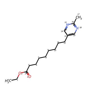 CCOC(=O)CCCCCCCCc1cnc(C)nc1